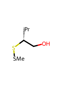 CSS[C@@H](CO)C(C)C